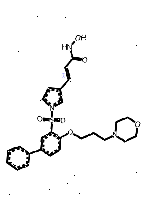 O=C(/C=C/c1ccn(S(=O)(=O)c2cc(-c3ccccc3)ccc2OCCCN2CCOCC2)c1)NO